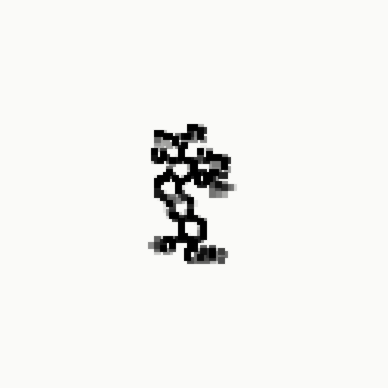 CCOc1c(OCC)c(OCC)c2c(cc[n+]3cc4c(O)c(OC)ccc4cc23)c1OCC.[Br-]